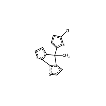 CC1(c2ccc(Cl)s2)c2ccsc2-c2sccc21